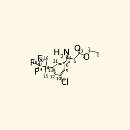 CCOC(=O)C[C@H](N)c1cc(Cl)cc(C(C)(C)C(F)(F)F)c1